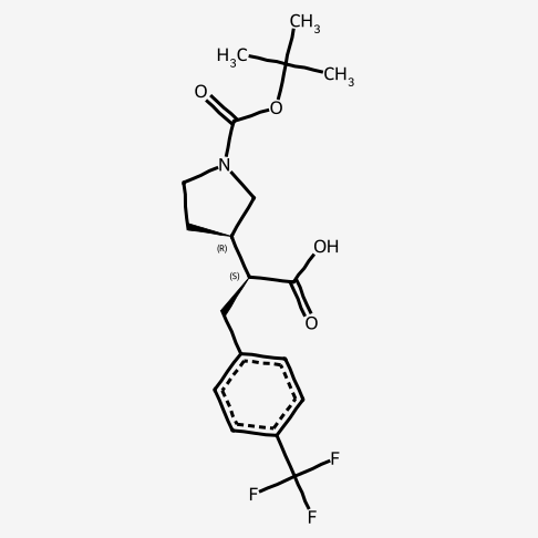 CC(C)(C)OC(=O)N1CC[C@H]([C@H](Cc2ccc(C(F)(F)F)cc2)C(=O)O)C1